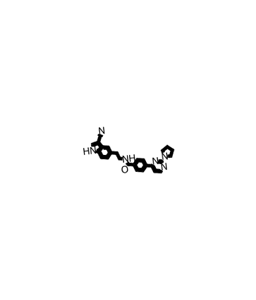 N#Cc1c[nH]c2ccc(CCNC(=O)c3ccc(-c4ccnc(N5CCCC5)n4)cc3)cc12